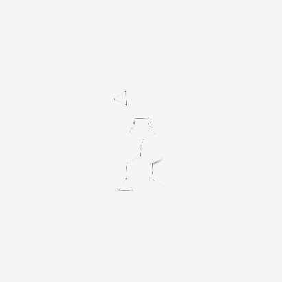 CNC(=O)C(CC1CC1)n1cc(C2CC2)nn1